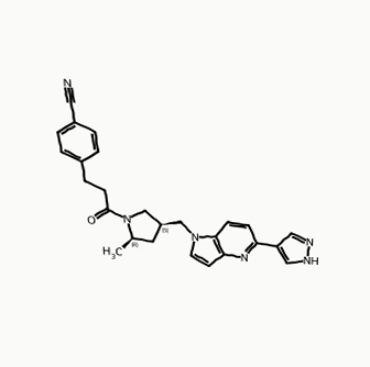 C[C@@H]1C[C@H](Cn2ccc3nc(-c4cn[nH]c4)ccc32)CN1C(=O)CCc1ccc(C#N)cc1